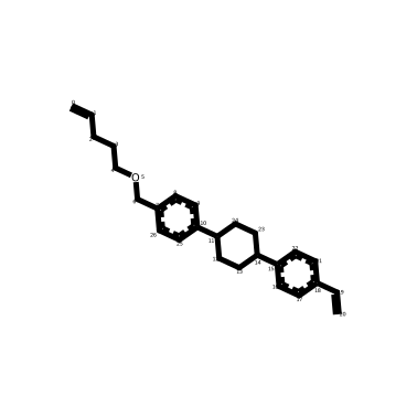 C=CCCCOCc1ccc(C2CCC(c3ccc(C=C)cc3)CC2)cc1